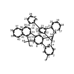 Cc1cc[n+]2c(c1)-c1cc3c(cc1C14C(=C21)[n+]1ccccc1-c1cc(-c2cccs2)ccc14)-c1ccc2ccccc2c1C3(C)C